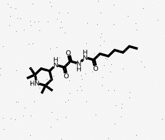 CCCCCCC(=O)NNC(=O)C(=O)NC1CC(C)(C)NC(C)(C)C1